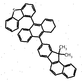 CC1(C)c2cc(-c3c4c(c(-c5cccc6sc7ccccc7c56)c5ccccc35)C=CCC4)ccc2-c2ccc3ccccc3c21